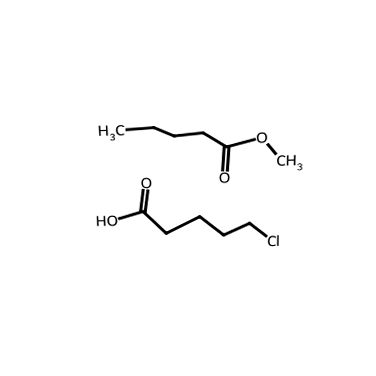 CCCCC(=O)OC.O=C(O)CCCCCl